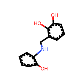 Oc1ccccc1NCc1cccc(O)c1O